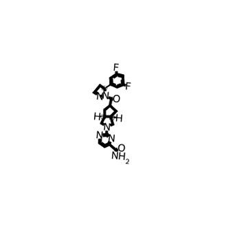 NC(=O)c1ccnc(N2C[C@H]3CC(C(=O)N4N=CC[C@H]4c4cc(F)cc(F)c4)C[C@@H]3C2)n1